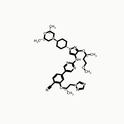 COCC[C@H](C)Oc1nn([C@H]2CC[C@H](N3C[C@@H](C)O[C@@H](C)C3)CC2)cc1Nc1ncc(-c2ccc(C#N)c(O[C@@H](C)Cn3cncn3)c2)cn1